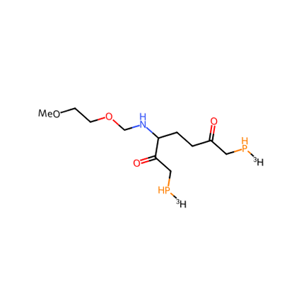 [3H]PCC(=O)CCC(NCOCCOC)C(=O)CP[3H]